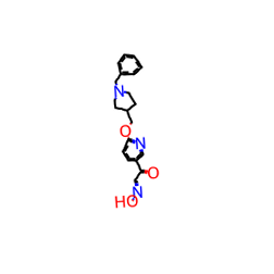 O=C(C=NO)c1ccc(OCC2CCN(Cc3ccccc3)CC2)nc1